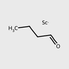 CCCC=O.[Sc]